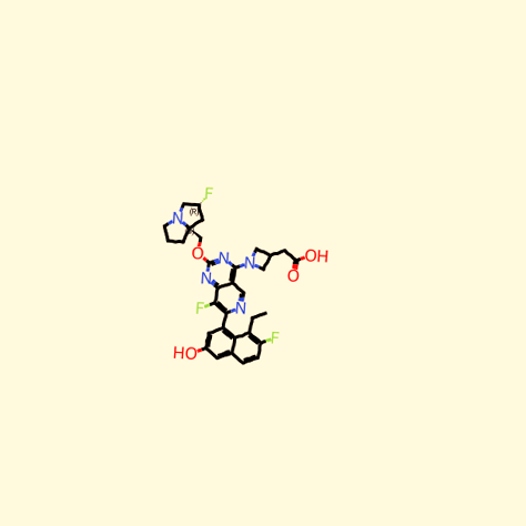 CCc1c(F)ccc2cc(O)cc(-c3ncc4c(N5CC(CC(=O)O)C5)nc(OC[C@@]56CCCN5C[C@H](F)C6)nc4c3F)c12